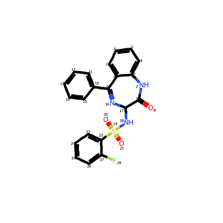 O=C1Nc2ccccc2C(c2ccccc2)=NC1NS(=O)(=O)c1ccccc1F